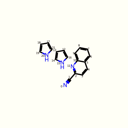 N#Cc1ccc2ccccc2n1.c1cc[nH]c1.c1cc[nH]c1